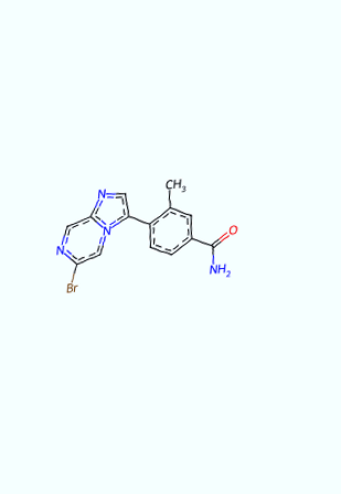 Cc1cc(C(N)=O)ccc1-c1cnc2cnc(Br)cn12